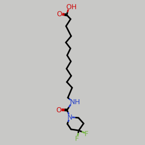 O=C(O)CCCCCCCCCCCCNC(=O)N1CCC(F)(F)CC1